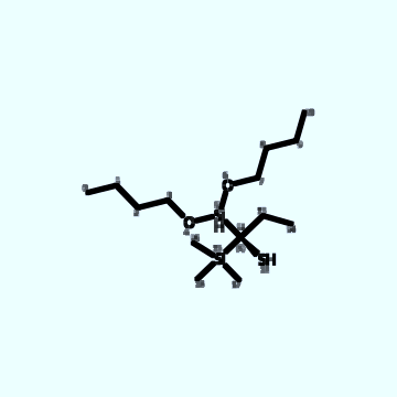 CCCCO[SiH](OCCCC)[C@](S)(CC)[Si](C)(C)C